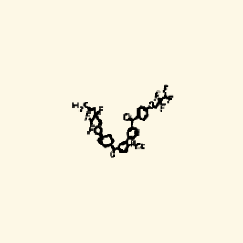 C=CCC(F)(COc1ccc(C(=O)c2ccc3c(c2)c2cc(C(=O)c4ccc(OCC(F)(F)C(F)F)cc4)ccc2n3CC)cc1)C(F)F